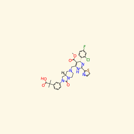 COC(=O)C1=C(CN2CCN3C(=O)N(c4cccc(C(C)(C)C(=O)O)c4)C[C@@H]3C2)NC(c2nccs2)=N[C@H]1c1ccc(F)cc1Cl